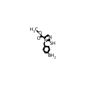 Bc1ccc(Cn2c(C(=O)OCC)cnc2S)cc1